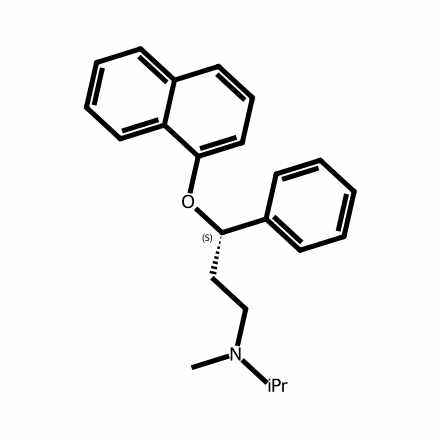 CC(C)N(C)CC[C@H](Oc1cccc2ccccc12)c1ccccc1